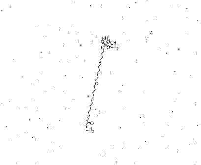 C=CC(=O)OCCCCCCCCCCOCCCCCCCCCCO[Si](OC)(OC)OC